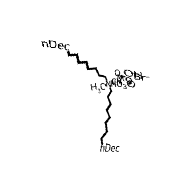 CCCCCCCCCCCCCCCCCC[N+](C)(C)CCCCCCCCCCCCCCCCCC.[Br-].[O]=[Mo](=[O])([OH])[OH]